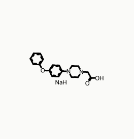 O=C(O)CN1CCN(c2ccc(Oc3ccccc3)cc2)CC1.[NaH]